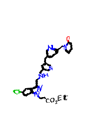 CCOC(=O)CCn1nc(CNCc2cncc(Cc3ccc(Cn4ccccc4=O)nc3)c2)c2cc(Cl)ccc21